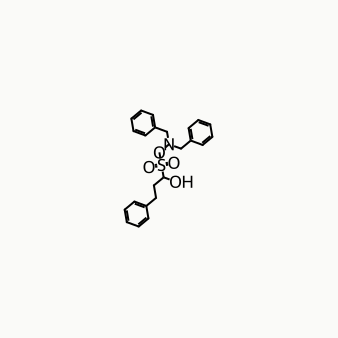 O=S(=O)(ON(Cc1ccccc1)Cc1ccccc1)C(O)CCc1ccccc1